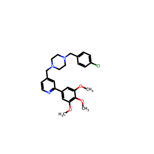 COc1cc(-c2cc(CN3CCN(Cc4ccc(Cl)cc4)CC3)ccn2)cc(OC)c1OC